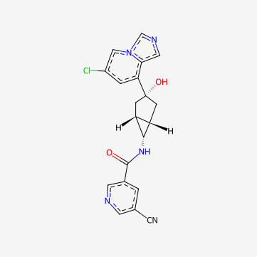 N#Cc1cncc(C(=O)N[C@@H]2[C@@H]3C[C@@](O)(c4cc(Cl)cn5cncc45)C[C@@H]32)c1